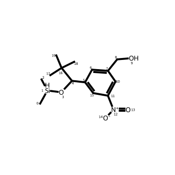 C[SiH](C)OC(c1cc(CO)cc([N+](=O)[O-])c1)C(C)(C)C